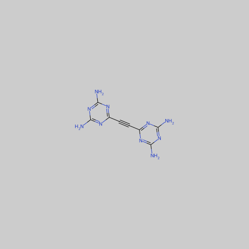 Nc1nc(N)nc(C#Cc2nc(N)nc(N)n2)n1